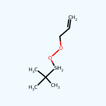 C=CCOO[SiH2]C(C)(C)C